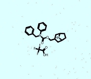 O=C(O)C(F)(F)F.O=C(OCC1CC2CCC(C1)N2)N(Cc1ccccc1)c1ccccc1